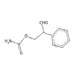 NC(=O)OCC(C=O)c1ccccc1